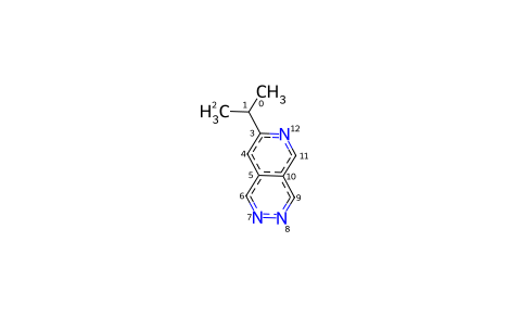 CC(C)c1cc2cnncc2cn1